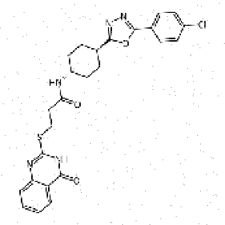 O=C(CCSc1nc2ccccc2c(=O)[nH]1)N[C@H]1CC[C@H](c2nnc(-c3ccc(Cl)cc3)o2)CC1